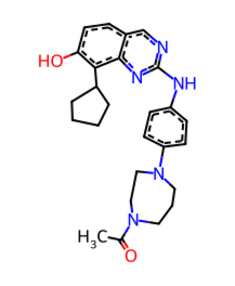 CC(=O)N1CCCN(c2ccc(Nc3ncc4ccc(O)c(C5CCCC5)c4n3)cc2)CC1